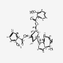 Cc1ccccc1C(=O)OC[C@H]1S[C@@H](n2cnc3c(Cl)ncnc32)C[C@@H]1OC(=O)c1ccccc1C